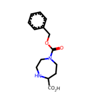 O=C(O)C1CCN(C(=O)OCc2ccccc2)CCN1